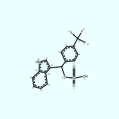 O=S(=O)(O)OC(c1ccc(C(F)(F)F)cc1)c1c[nH]c2ccccc12